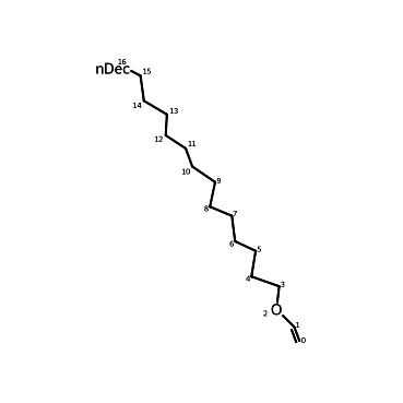 C=COCCCCCCCCCCCCCCCCCCCCCCC